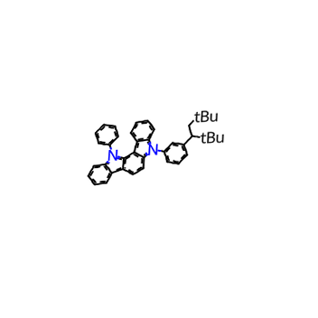 CC(C)(C)CC(c1cccc(-n2c3ccccc3c3c2ccc2c4ccccc4n(-c4ccccc4)c23)c1)C(C)(C)C